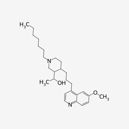 CCCCCCCN1CCC(CCCc2ccnc3ccc(OC)cc23)C(C(C)O)C1